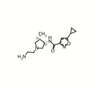 C[C@H]1CN(CCN)C[C@H]1NC(=O)c1cc(C2CC2)on1